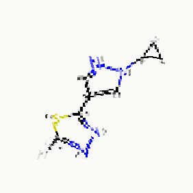 CC(C)c1nnc(-c2cnn(C3CC3)c2)s1